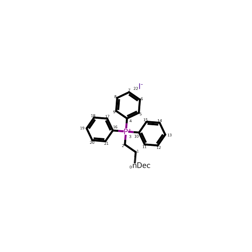 CCCCCCCCCCCC[P+](c1ccccc1)(c1ccccc1)c1ccccc1.[I-]